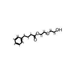 O=C(CCCc1ccccc1)OCCOCCO